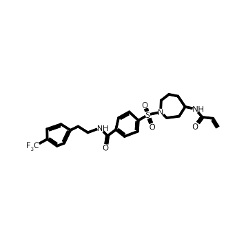 C=CC(=O)NC1CCCN(S(=O)(=O)c2ccc(C(=O)NCCc3ccc(C(F)(F)F)cc3)cc2)CC1